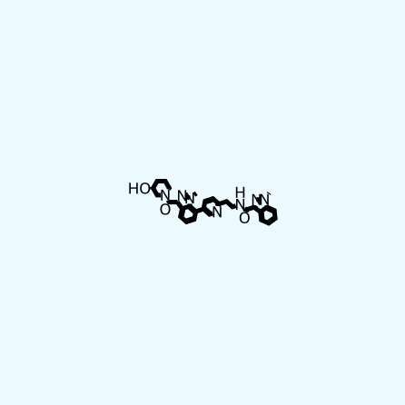 Cn1nc(C(=O)NCCc2ccc(-c3cccc4c(C(=O)N5CCC[C@H](O)C5)nn(C)c34)cn2)c2ccccc21